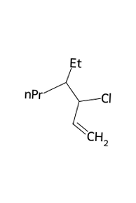 C=CC(Cl)C(CC)CCC